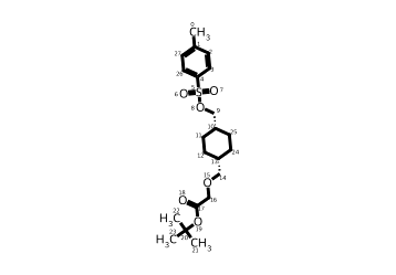 Cc1ccc(S(=O)(=O)OC[C@H]2CC[C@@H](COCC(=O)OC(C)(C)C)CC2)cc1